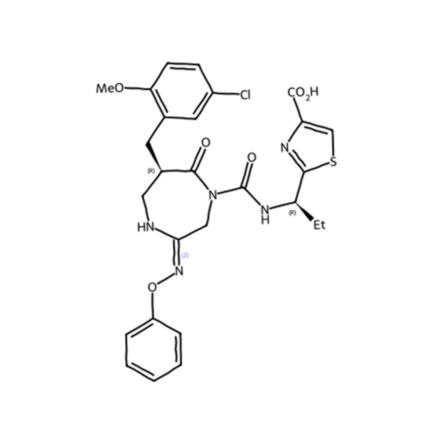 CC[C@@H](NC(=O)N1C/C(=N/Oc2ccccc2)NC[C@@H](Cc2cc(Cl)ccc2OC)C1=O)c1nc(C(=O)O)cs1